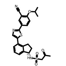 CC(=O)CS(=O)(=O)N[C@H]1CCc2c(-c3cnc(-c4ccc(OC(C)C)c(C#N)c4)s3)cccc21